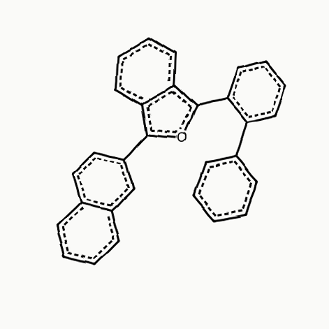 c1ccc(-c2ccccc2-c2oc(-c3ccc4ccccc4c3)c3ccccc23)cc1